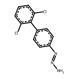 NN=Nc1ccc(-c2c(Cl)cccc2Cl)cc1